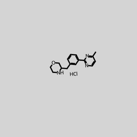 Cc1ccnc(-c2cccc(CC3COCCN3)c2)n1.Cl